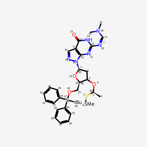 CSS[C@H](C)OC1C[C@H](n2ncc3c(=O)[nH]c(/N=C\N(C)C)nc32)O[C@@H]1CO[Si](c1ccccc1)(c1ccccc1)C(C)(C)C